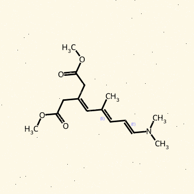 COC(=O)CC(=C/C(C)=C/C=C/N(C)C)CC(=O)OC